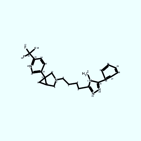 Cn1c(CCCCN2CC3CC3(c3ccc(C(F)(F)F)nc3)C2)nnc1-c1ccccc1